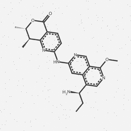 CC[C@@H](N)c1cnc(OC)c2cnc(Nc3ccc4c(n3)[C@@H](C)[C@H](C)OC4=O)cc12